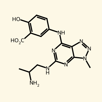 CC(N)CNc1nc(Nc2ccc(O)c(C(=O)O)c2)c2nnn(C)c2n1